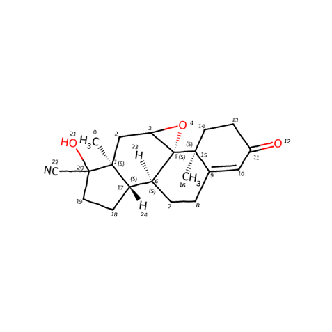 C[C@]12CC3O[C@]34[C@@H](CCC3=CC(=O)CC[C@@]34C)[C@@H]1CCC2(O)C#N